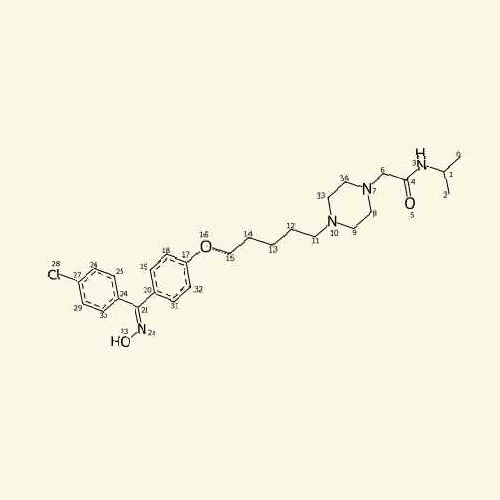 CC(C)NC(=O)CN1CCN(CCCCCOc2ccc(C(=NO)c3ccc(Cl)cc3)cc2)CC1